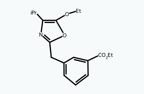 CCOC(=O)c1cccc(Cc2nc(C(C)C)c(OCC)o2)c1